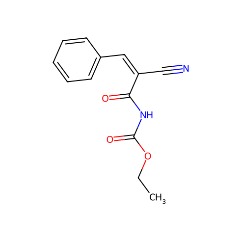 CCOC(=O)NC(=O)C(C#N)=Cc1ccccc1